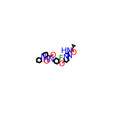 O=C(Nc1ccc(Oc2ccc3nc(NC(=O)C4CC4)cn3c2)c(F)c1)c1cccn(-c2ccccc2)c1=O